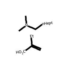 C=C(CC)C(=O)O.CCCCCCCCN(C)C